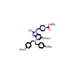 CCCCCC1=CN(N(Cc2ccc(OC)cc2)Cc2ccc(OC)cc2)C2=NC(O)N(CC3CCN(C(=O)OC(C)(C)C)CC3)C2=C1